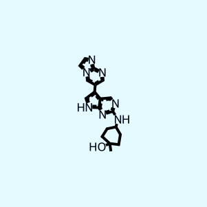 CC1(O)CCC(Nc2ncc3c(-c4cnc5nccn5c4)c[nH]c3n2)CC1